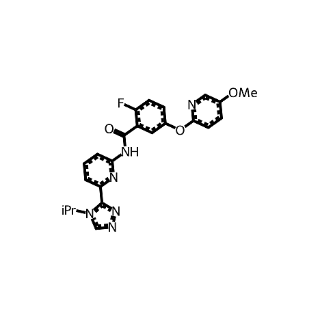 COc1ccc(Oc2ccc(F)c(C(=O)Nc3cccc(-c4nncn4C(C)C)n3)c2)nc1